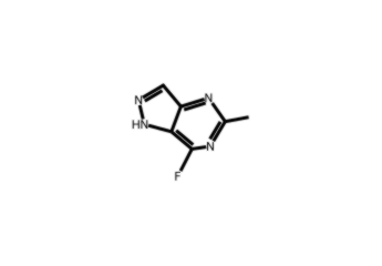 Cc1nc(F)c2[nH]ncc2n1